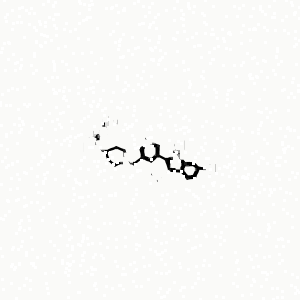 Cn1c(-c2cncc(CN3CCC(NC(=O)OC(C)(C)C)CC3)c2)c(C#N)c2ccc(Cl)cc21